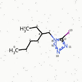 CCCCC(CC)Cn1nnnc1I